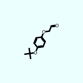 CC(C)(C)Oc1ccc(OC[C]=O)cc1